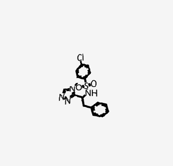 Cn1cnnc1C(Cc1ccccc1)NS(=O)(=O)c1ccc(Cl)cc1